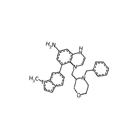 Cn1ccc2ccc(-c3cc(N)cc4c3N(CC3COCCN3Cc3ccccc3)C=CN4)cc21